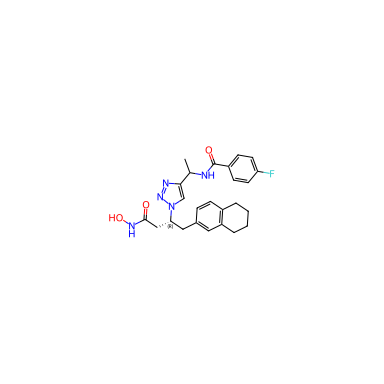 CC(NC(=O)c1ccc(F)cc1)c1cn([C@@H](CC(=O)NO)Cc2ccc3c(c2)CCCC3)nn1